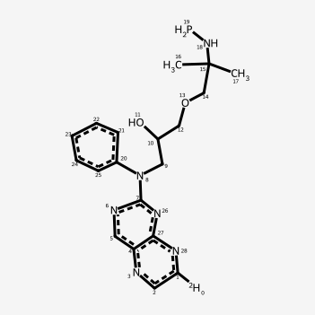 [2H]c1cnc2cnc(N(CC(O)COCC(C)(C)NP)c3ccccc3)nc2n1